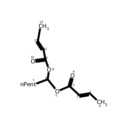 CC=CC(=O)OC(CCCCC)OC(=O)C=CC